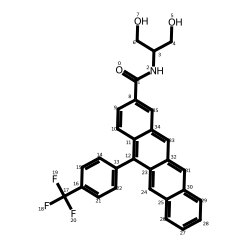 O=C(NC(CO)CO)c1ccc2c(-c3ccc(C(F)(F)F)cc3)c3cc4ccccc4cc3cc2c1